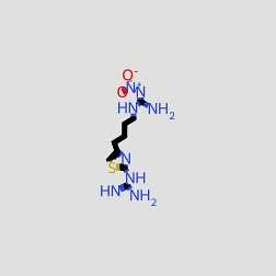 N=C(N)Nc1nc(CCCCN/C(N)=N\[N+](=O)[O-])cs1